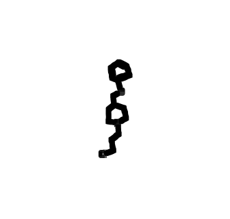 ClCCCN1CCC(COc2ccccc2)CC1